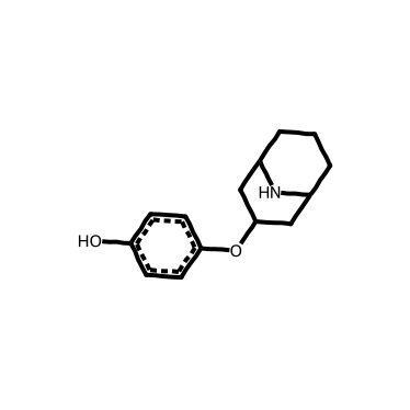 Oc1ccc(OC2CC3CCCC(C2)N3)cc1